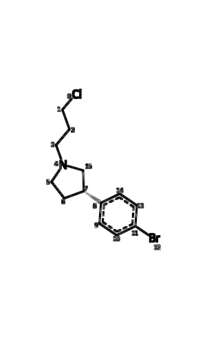 ClCCCN1CC[C@@H](c2ccc(Br)cc2)C1